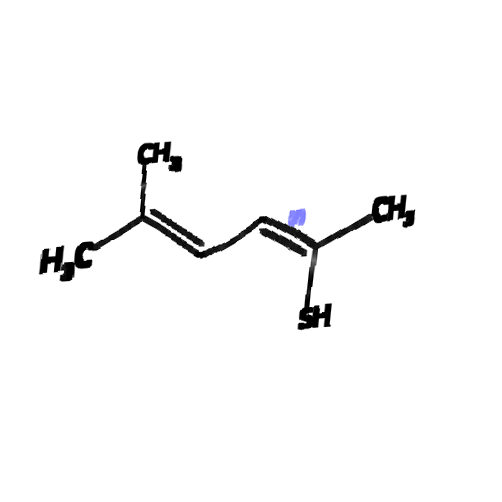 CC(C)=C/C=C(/C)S